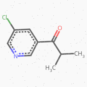 CC(C)C(=O)c1cncc(Cl)c1